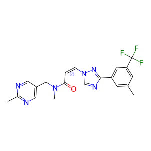 Cc1cc(-c2ncn(/C=C\C(=O)N(C)Cc3cnc(C)nc3)n2)cc(C(F)(F)F)c1